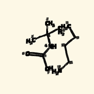 CC(C)(C)NC(=O)O.CCCCN